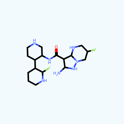 NC1NN2CC(F)CNC2C1C(=O)NC1CNCCC1C1CCCNC1F